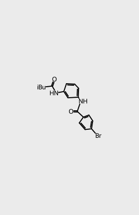 CCC(C)C(=O)Nc1cccc(NC(=O)c2ccc(Br)cc2)c1